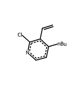 C=Cc1c(CCCC)ccnc1Cl